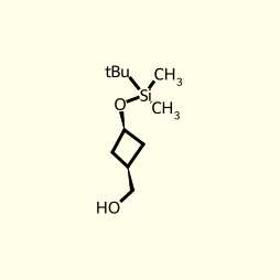 CC(C)(C)[Si](C)(C)O[C@H]1C[C@@H](CO)C1